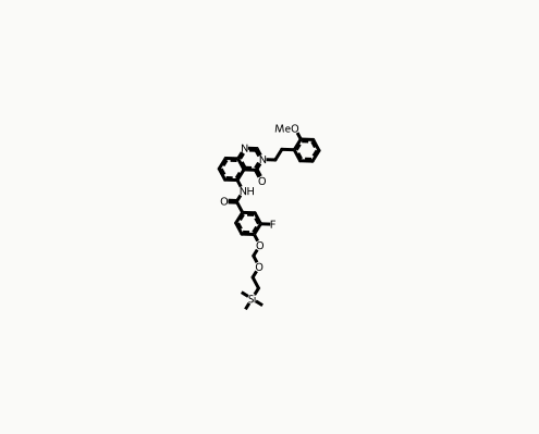 COc1ccccc1CCn1cnc2cccc(NC(=O)c3ccc(OCOCC[Si](C)(C)C)c(F)c3)c2c1=O